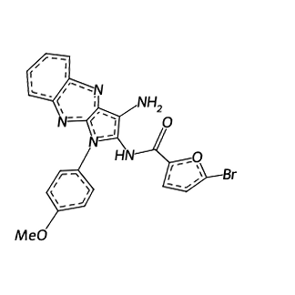 COc1ccc(-n2c(NC(=O)c3ccc(Br)o3)c(N)c3nc4ccccc4nc32)cc1